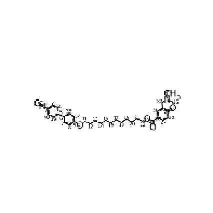 [C-]#[N+]c1ccc(-c2ccc(OCCCCCCCCCCCCOC(=O)c3ccc4c(c3)CN(C)CO4)cc2)cc1